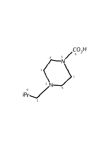 CC(C)CN1CCN(C(=O)O)CC1